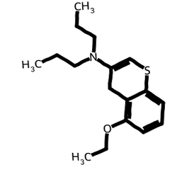 CCCN(CCC)C1=CSc2cccc(OCC)c2C1